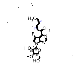 C=C(/C=C\C=C/C)c1ncnc2c1c(F)cn2[C@@H]1O[C@H](CO)[C@@H](O)[C@H]1O